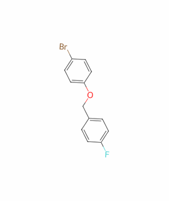 Fc1ccc(COc2ccc(Br)cc2)cc1